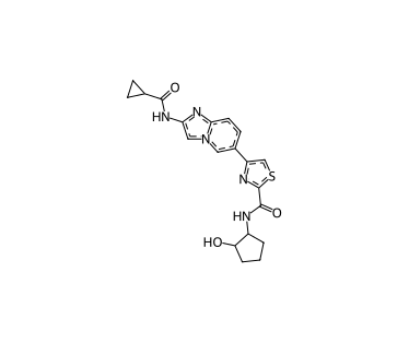 O=C(NC1CCCC1O)c1nc(-c2ccc3nc(NC(=O)C4CC4)cn3c2)cs1